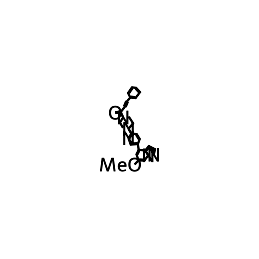 COc1cc(-c2ccc(N3CCN(C(=O)C#Cc4ccccc4)CC3)nc2)c2ccnn2c1